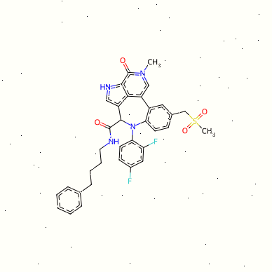 Cn1cc2c3c(c[nH]c3c1=O)C(C(=O)NCCCCc1ccccc1)N(c1ccc(F)cc1F)c1ccc(CS(C)(=O)=O)cc1-2